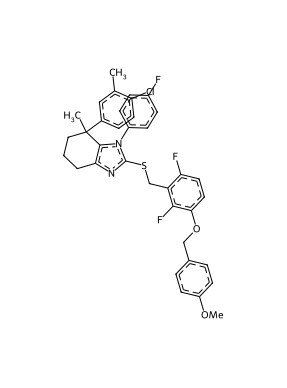 COc1ccc(COc2ccc(F)c(CSc3nc4c(n3-c3ccc(F)cc3)C(C)(c3ccc(Cl)c(C)c3)CCC4)c2F)cc1